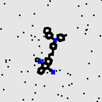 [C-]#[N+]c1c2ccccc2c(C#N)c2ccc(C=Cc3ccc(N(c4ccc(C)cc4)c4ccc5c(c4)CCCC5)cc3)cc12